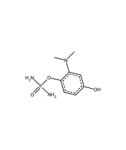 CN(C)c1cc(O)ccc1OP(N)(N)=O